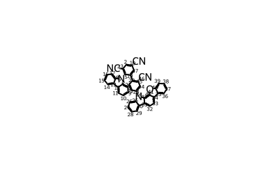 N#Cc1cc(C#N)c(-n2c3ccccc3c3ccccc32)c(-c2ccc(-n3c4ccccc4c4ccc5c6ccccc6oc5c43)cc2C#N)c1